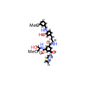 COC(=O)C(CO)NC(=O)c1cc(C(=O)N[C@@H](C)CCc2ccc(NCc3cccc(OC)c3)c(O)c2)cc(C(=O)N(C)Cc2nc(C)cs2)c1